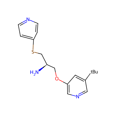 CC(C)(C)c1cncc(OC[C@@H](N)CSc2ccncc2)c1